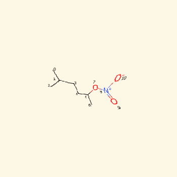 CC(C)CCC(C)O[N+](=O)[O-]